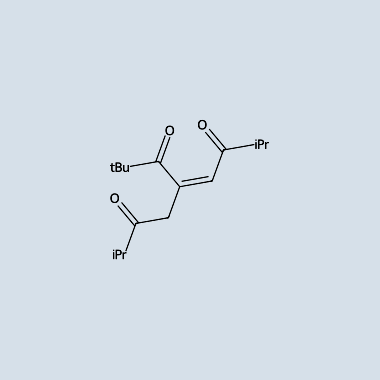 CC(C)C(=O)/C=C(/CC(=O)C(C)C)C(=O)C(C)(C)C